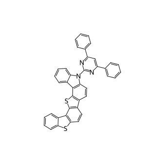 c1ccc(-c2cc(-c3ccccc3)nc(-n3c4ccccc4c4c5sc6c(ccc7sc8ccccc8c76)c5ccc43)n2)cc1